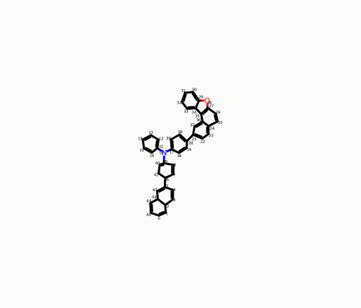 C1=CC2C=CC(C3C=CC(N(c4ccccc4)c4ccc(-c5ccc6ccc7oc8ccccc8c7c6c5)cc4)=CC3)=CC2C=C1